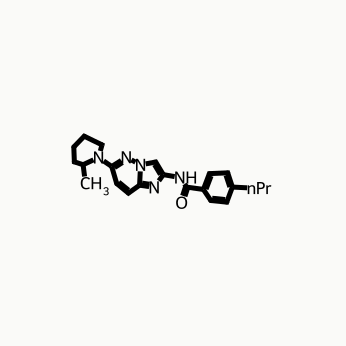 CCCc1ccc(C(=O)Nc2cn3nc(N4CCCCC4C)ccc3n2)cc1